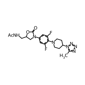 CC(=O)NCC1CN(c2cc(F)c(N3CCC(n4nnnc4C)CC3)c(F)c2)C(=O)O1